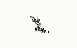 CC(C)NC(=O)CN1CCc2cc(OC/C(=C\F)CNC(=O)OC(C)(C)C)ccc2C1=O